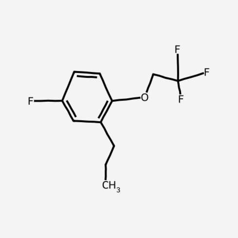 CCCc1cc(F)ccc1OCC(F)(F)F